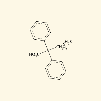 CC(C(=O)O)(c1ccccc1)c1ccccc1.S.S